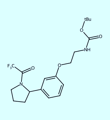 CC(C)(C)OC(=O)NCCOc1cccc(C2CCCN2C(=O)C(F)(F)F)c1